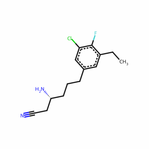 CCc1cc(CCC[C@@H](N)CC#N)cc(Cl)c1F